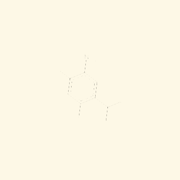 Nc1cc(C(F)F)c(Cl)cc1F